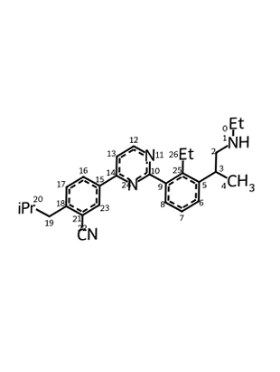 CCNCC(C)c1cccc(-c2nccc(-c3ccc(CC(C)C)c(C#N)c3)n2)c1CC